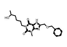 CC(O)CCCCn1c(=O)c2[nH]c(COCc3ccccc3)nc2n(C)c1=O